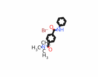 C[N+](C)(C)C(=O)c1ccc(C(=O)Nc2ccccc2)cc1.[Br-]